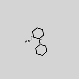 N[C@@H]1CCCC[C@H]1N1CCCCC1